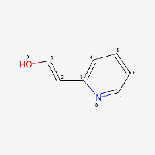 OC=Cc1ccccn1